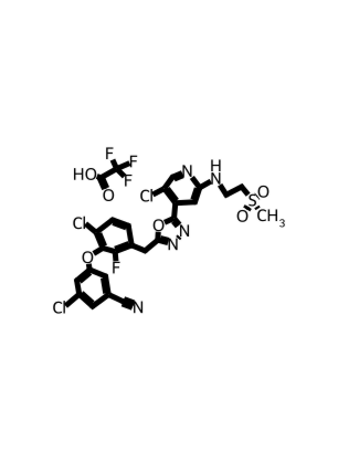 CS(=O)(=O)CCNc1cc(-c2nnc(Cc3ccc(Cl)c(Oc4cc(Cl)cc(C#N)c4)c3F)o2)c(Cl)cn1.O=C(O)C(F)(F)F